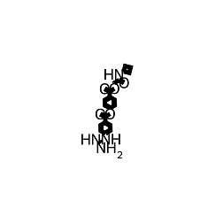 N=C(N)Nc1ccc(C(=O)Oc2ccc(C(=O)OCC(=O)NC3CCC3)cc2)cc1